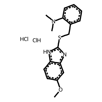 COc1ccc2[nH]c(SCc3ccccc3N(C)C)nc2c1.Cl.Cl